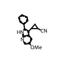 COc1cnc2[nH]c(-c3ccccc3)c(C3CC3C#N)c2c1